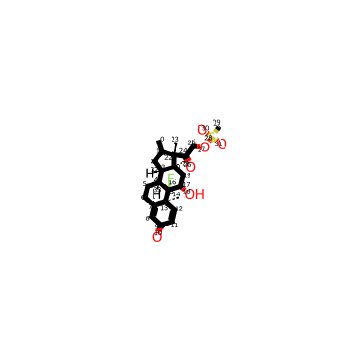 CC1C[C@H]2[C@@H]3CCC4=CC(=O)C=C[C@]4(C)[C@@]3(F)C(O)C[C@]2(C)[C@@]1(C)C(=O)COS(C)(=O)=O